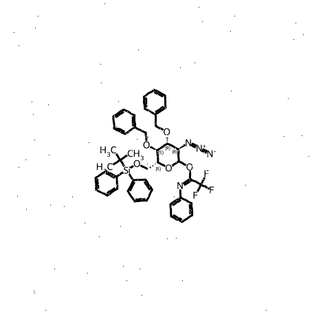 CC(C)(C)[Si](OC[C@H]1OC(OC(=Nc2ccccc2)C(F)(F)F)[C@H](N=[N+]=[N-])[C@@H](OCc2ccccc2)[C@@H]1OCc1ccccc1)(c1ccccc1)c1ccccc1